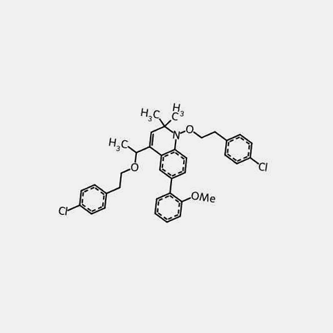 COc1ccccc1-c1ccc2c(c1)C(C(C)OCCc1ccc(Cl)cc1)=CC(C)(C)N2OCCc1ccc(Cl)cc1